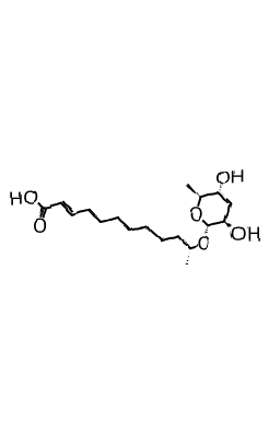 C[C@H](CCCCCCC/C=C/C(=O)O)O[C@@H]1O[C@@H](C)[C@H](O)C[C@H]1O